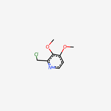 COc1ccnc(CCl)c1OC